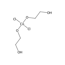 OCC[O][Co]([Cl])([Cl])[O]CCO